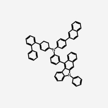 C1=C(c2ccccc2-c2ccccc2)CCC(N(c2ccc(-c3ccc4ccccc4c3)cc2)c2cccc(-c3c4ccccc4cc4c3c3ccccc3n4-c3ccccc3)c2)=C1